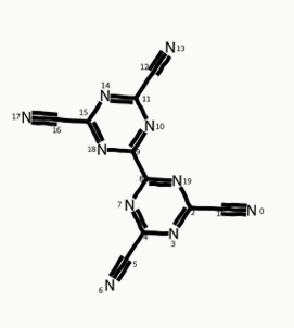 N#Cc1nc(C#N)nc(-c2nc(C#N)nc(C#N)n2)n1